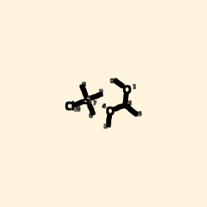 COC(C)OC.C[Si](C)(C)Cl